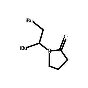 CCC(C)CC(C(C)CC)N1CCCC1=O